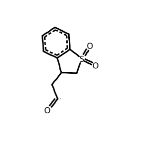 O=[C]CC1CS(=O)(=O)c2ccccc21